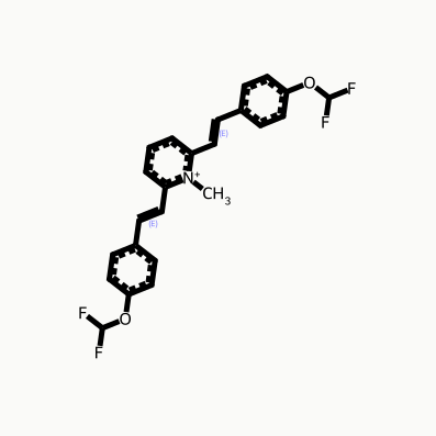 C[n+]1c(/C=C/c2ccc(OC(F)F)cc2)cccc1/C=C/c1ccc(OC(F)F)cc1